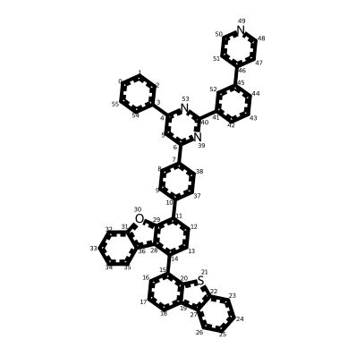 c1ccc(-c2cc(-c3ccc(-c4ccc(-c5cccc6c5sc5ccccc56)c5c4oc4ccccc45)cc3)nc(-c3cccc(-c4ccncc4)c3)n2)cc1